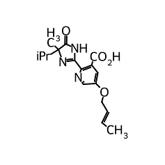 CC=CCOc1cnc(C2=NC(C)(C(C)C)C(=O)N2)c(C(=O)O)c1